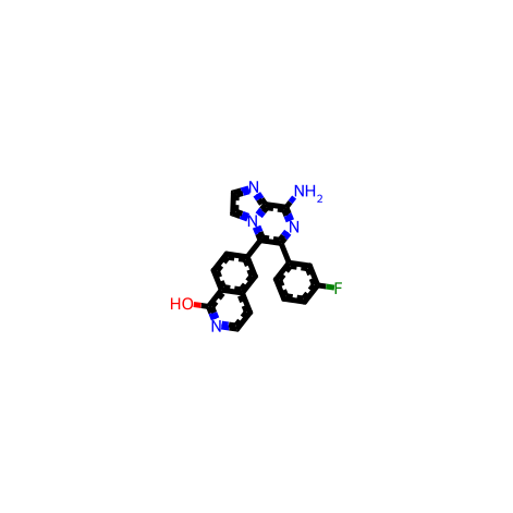 Nc1nc(-c2cccc(F)c2)c(-c2ccc3c(O)nccc3c2)n2ccnc12